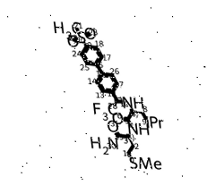 CSCC[C@H](NC(=O)[C@H](CC(C)C)N[C@@H](c1ccc(-c2ccc(S(C)(=O)=O)cc2)cc1)C(F)(F)F)C(N)=O